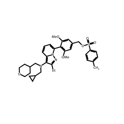 CCc1nn2c(-c3c(OC)cc(COS(=O)(=O)c4ccc(C)cc4)cc3OC)cccc2c1N(CC1CCOCC1)CC1CC1